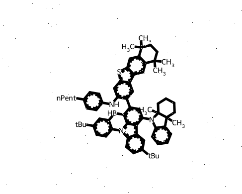 CCCCCc1ccc(Nc2cc3sc4cc5c(cc4c3cc2-c2cc(N3c4ccccc4C4(C)CCCCC34C)c3c4cc(C(C)(C)C)ccc4n4c3c2Bc2cc(C(C)(C)C)ccc2-4)C(C)(C)CCC5(C)C)cc1